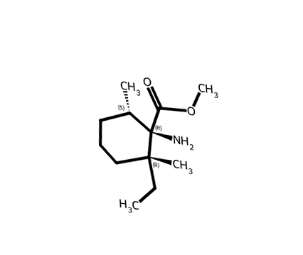 CC[C@]1(C)CCC[C@H](C)[C@]1(N)C(=O)OC